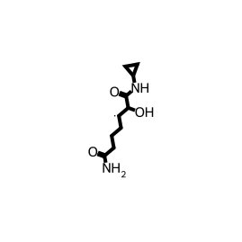 NC(=O)CCC[CH]C(O)C(=O)NC1CC1